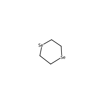 C1C[Se]CC[Se]1